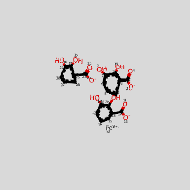 O=C([O-])c1cccc(O)c1O.O=C([O-])c1cccc(O)c1O.O=C([O-])c1cccc(O)c1O.[Fe+3]